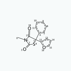 CN1C(=O)SC(c2ccccc2)(c2ccco2)C1=O